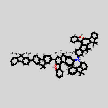 CCCCCCCC1(CCCCCCC)c2ccccc2-c2ccc(-c3ccc4c(c3)C(C)(C)c3cc(-c5cc6c(c7c5oc5ccccc57)-c5ccc(N(c7ccc8c(c7)C(C)(C)c7c9c(c%10oc%11ccccc%11c%10c7-8)-c7ccccc7C9(C)C)c7cccc8c7-c7ccccc7C8(C)C)cc5C6(CCCCCCC)CCCCCCC)ccc3-4)cc21